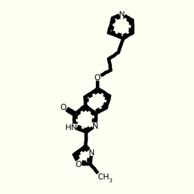 Cc1nc(-c2nc3ccc(OCCCc4ccncc4)cc3c(=O)[nH]2)co1